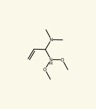 C=CC(N(C)C)[SiH](OC)OC